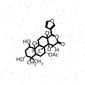 CC(=O)O[C@@H]1CC2C(C)(C)[C@H](O)CC(O)[C@]2(C)C2CCC3(C)C(c4ccoc4)OC(=O)[C@H]4O[C@]43[C@@]21C